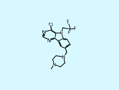 CN1CCN(Cc2ccc3c(c2)c2ncnc(Cl)c2n3CC(F)(F)F)CC1